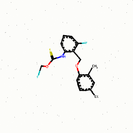 CCc1ccc(OCc2c(F)cccc2NC(=S)OCF)c(C)c1